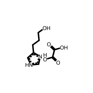 O=C(O)C(=O)O.OCCCc1c[nH]cn1